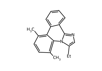 CCc1cnc2c3ccccc3c3c(C)ccc(C)c3n12